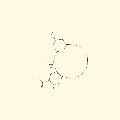 NC(=O)C1CC2=C(CC1O)NCCOCCCCCC1CC(CO)CC(C1)NS2(=O)=O